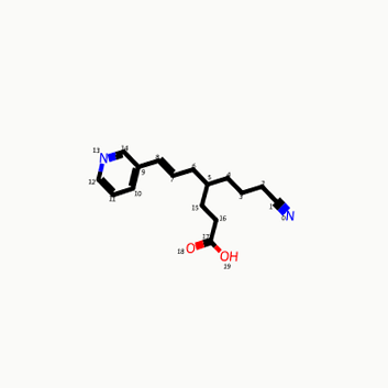 N#CCCCC(CC=Cc1cccnc1)CCC(=O)O